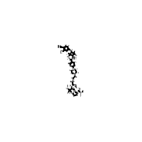 CNC(=O)[C@@H]1CCCN1C(=O)[C@@H](NC(=O)COCCN1CCN(c2ccc(C(=O)NC3C(C)(C)C(Oc4ccc(C#N)c(Cl)c4)C3(C)C)cn2)CC1)C(C)(C)C